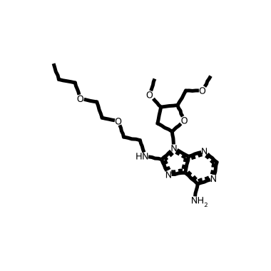 CCCOCCOCCNc1nc2c(N)ncnc2n1C1CC(OC)C(COC)O1